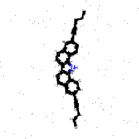 CCCC#Cc1ccc2c(ccc3c4ccc5cc(C#CCCC)ccc5c4[nH]c23)c1